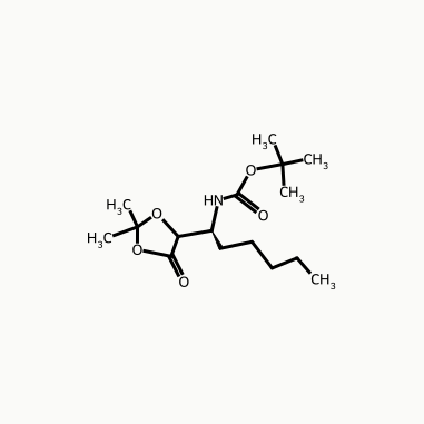 CCCCC[C@H](NC(=O)OC(C)(C)C)C1OC(C)(C)OC1=O